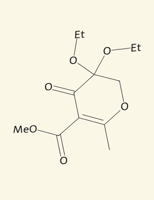 CCOC1(OCC)COC(C)=C(C(=O)OC)C1=O